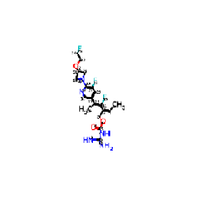 C/C=C(COC(=O)NC(=N)N)\C(F)=C(/C)c1cnc(N2CC(OCCF)C2)c(F)c1